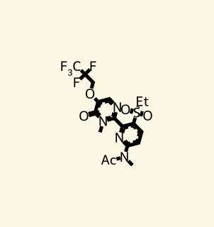 CCS(=O)(=O)c1ccc(N(C)C(C)=O)nc1-c1ncc(OCC(F)(F)C(F)(F)F)c(=O)n1C